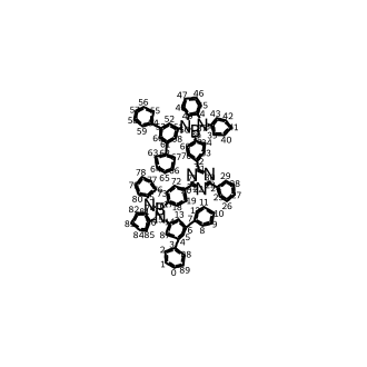 c1ccc(-c2cc(-c3ccccc3)cc(N3B(c4ccc(-c5nc(-c6ccccc6)nc(-c6ccc(B7N(c8ccccc8)c8ccccc8N7c7cc(-c8ccccc8)cc(-c8ccccc8)c7)cc6)n5)cc4)N(c4ccccc4)c4ccccc43)c2)cc1